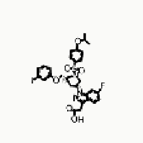 CC(C)Oc1ccc(S(=O)(=O)N2C[C@H](n3nc(CC(=O)O)c4ccc(F)cc43)C[C@@H]2COc2cccc(I)c2)cc1